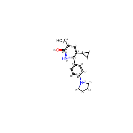 O=C(O)c1cc(C2CC2)c(-c2ccc(N3CCCC3)cc2)[nH]c1=O